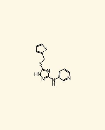 c1cncc(Nc2n[nH]c(SCc3cccs3)n2)c1